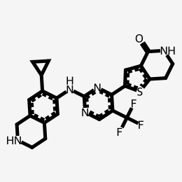 O=C1NCCc2sc(-c3nc(Nc4cc5c(cc4C4CC4)CNCC5)ncc3C(F)(F)F)cc21